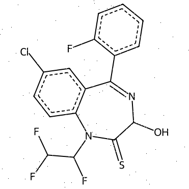 OC1N=C(c2ccccc2F)c2cc(Cl)ccc2N(C(F)C(F)F)C1=S